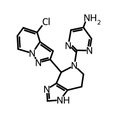 Nc1cnc(N2CCc3[nH]cnc3C2c2cc3c(Cl)cccn3n2)nc1